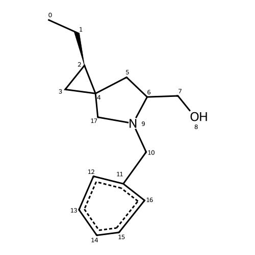 CC[C@@H]1CC12CC(CO)N(Cc1ccccc1)C2